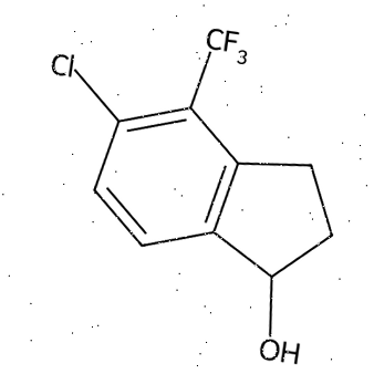 OC1CCc2c1ccc(Cl)c2C(F)(F)F